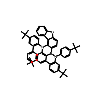 CC(C)(C)c1ccc(N2B3c4ccc5oc6ccccc6c5c4N(c4ccc(C(C)(C)C)cc4-c4ccccc4)c4cc(C(C)(C)C)cc(c43)-c3ccc(C(C)(C)C)cc32)cc1